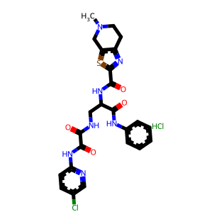 CN1CCc2nc(C(=O)NC(CNC(=O)C(=O)Nc3ccc(Cl)cn3)C(=O)Nc3ccccc3)sc2C1.Cl